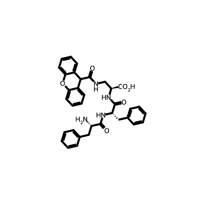 N[C@@H](Cc1ccccc1)C(=O)N[C@@H](Cc1ccccc1)C(=O)N[C@@H](CNC(=O)C1c2ccccc2Oc2ccccc21)C(=O)O